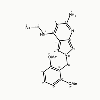 CC[C@@H](C)CNc1nc(N)nc2cn(Cc3c(OC)cccc3OC)nc12